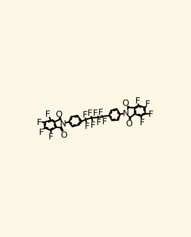 O=C1c2c(F)c(F)c(F)c(F)c2C(=O)N1c1ccc(C(F)(F)C(F)(F)C(F)(F)C(F)(F)c2ccc(N3C(=O)c4c(F)c(F)c(F)c(F)c4C3=O)cc2)cc1